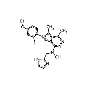 CCOc1ccc(-n2nc3c(N(C)Cc4ncc[nH]4)nnc(C)c3c2C)c(F)c1